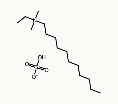 CCCCCCCCCCC[N+](C)(C)CC.O=S(=O)([O-])O